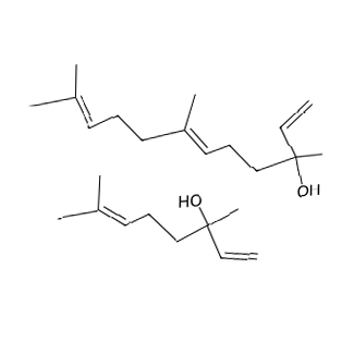 C=CC(C)(O)CC/C=C(\C)CCC=C(C)C.C=CC(C)(O)CCC=C(C)C